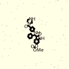 COC(=O)Oc1ccc2c(c1)NC(=O)/C2=C(\Nc1ccc(C(=O)N2CCNCC2)cc1)c1ccccc1